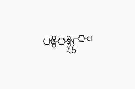 O=S(=O)(c1ccc(S(=O)(=O)N(Cc2ccc(Cl)cc2)CC2CCCO2)cc1)N1CCCCC1